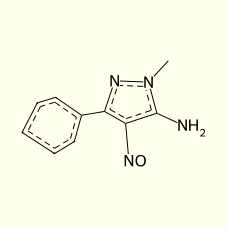 Cn1nc(-c2ccccc2)c(N=O)c1N